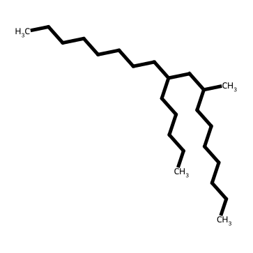 CCCCCCCCC([CH]C(C)CCCCCCC)CCCCC